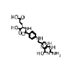 NC1=NC(O)C2=C(NCC(CNc3ccc(C(=O)N[C@@H](CCC(=O)O)C(=O)O)cc3)=N2)N1